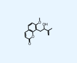 C=C(C)C(O)Cc1c(OC)ccc2ccc(=O)oc12